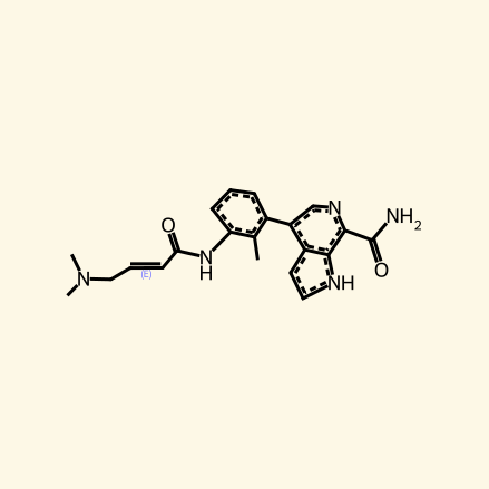 Cc1c(NC(=O)/C=C/CN(C)C)cccc1-c1cnc(C(N)=O)c2[nH]ccc12